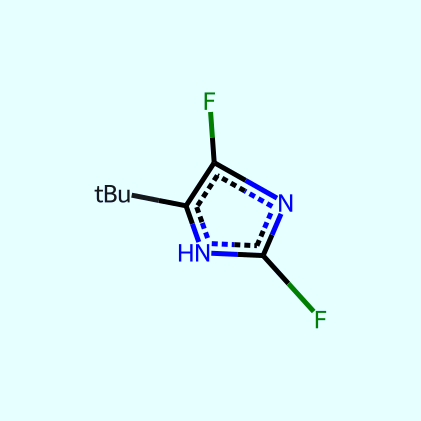 CC(C)(C)c1[nH]c(F)nc1F